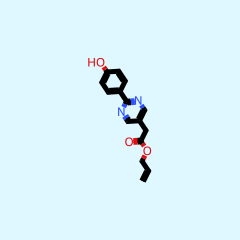 C=CCOC(=O)Cc1cnc(-c2ccc(O)cc2)nc1